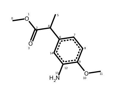 COC(=O)C(C)c1ccc(OC)c(N)c1